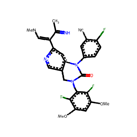 CN/C=C(\C(C)=N)c1cc2c(cn1)CN(c1c(F)c(OC)cc(OC)c1F)C(=O)N2c1ccc(F)c(C#N)c1